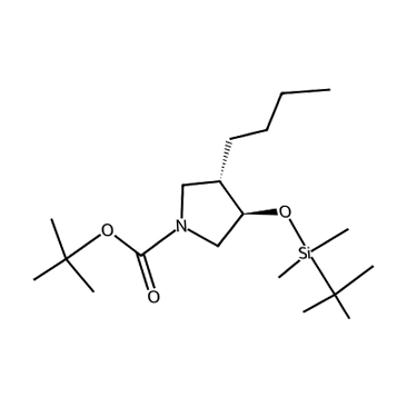 CCCC[C@H]1CN(C(=O)OC(C)(C)C)C[C@@H]1O[Si](C)(C)C(C)(C)C